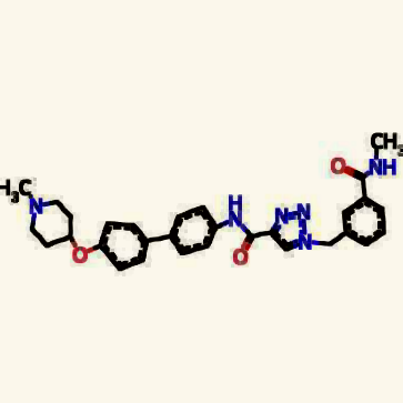 CNC(=O)c1cccc(Cn2cc(C(=O)Nc3ccc(-c4ccc(OC5CCN(C)CC5)cc4)cc3)nn2)c1